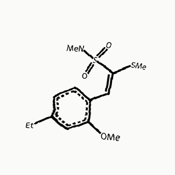 CCc1ccc(C=C(SC)S(=O)(=O)NC)c(OC)c1